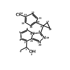 CC(O)c1cccn2c(C3(c4ccc(Cl)cc4)CC3)nnc12